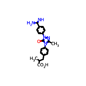 Cc1nn(-c2ccc(C(=N)N)cc2)c(=O)n1-c1ccc(CC(C)C(=O)O)cc1